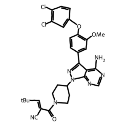 COc1cc(-c2nn(C3CCN(C(=O)C(C#N)=CC(C)(C)C)CC3)c3ncnc(N)c23)ccc1Oc1ccc(Cl)c(Cl)c1